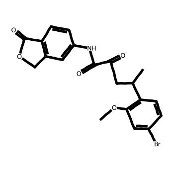 COc1cc(Br)ccc1C(C)CC(=O)C(=O)Nc1ccc2c(c1)COC2=O